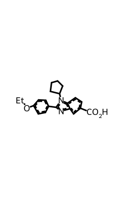 CCOc1ccc(-c2nc3cc(C(=O)O)ccc3n2C2CCCC2)cc1